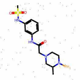 CC1CN(CC(=O)Nc2cccc(NS(C)(=O)=O)c2)CCN1P